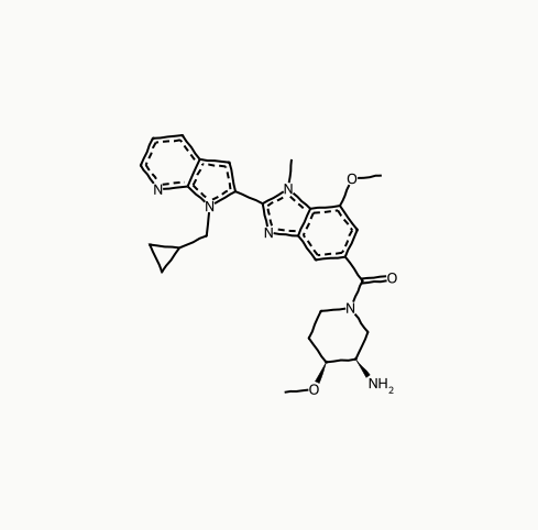 COc1cc(C(=O)N2CC[C@H](OC)[C@H](N)C2)cc2nc(-c3cc4cccnc4n3CC3CC3)n(C)c12